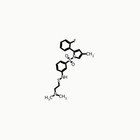 [CH2]c1cc(-c2ccccc2F)n(S(=O)(=O)c2cccc(NSCCN(C)C)c2)c1